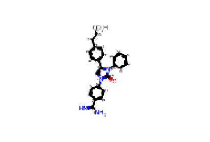 N=C(N)c1ccc(-n2cc(-c3ccc(CCC(=O)O)cc3)n(-c3ccccc3)c2=O)cc1